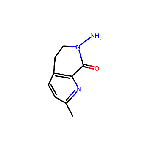 Cc1ccc2c(n1)C(=O)N(N)CC2